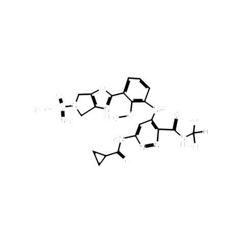 [2H]C([2H])([2H])NC(=O)c1nnc(NC(=O)C2CC2)cc1Nc1cccc(-c2nc3c(o2)CN([S@@](C)(=N)=O)C3)c1OC